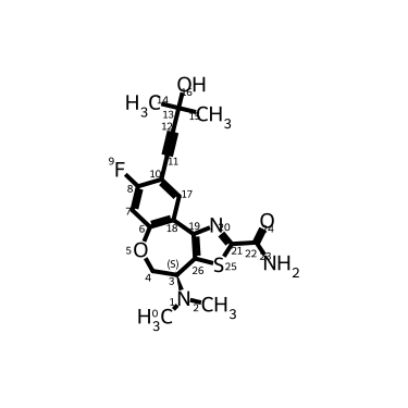 CN(C)[C@H]1COc2cc(F)c(C#CC(C)(C)O)cc2-c2nc(C(N)=O)sc21